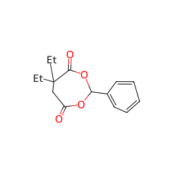 CCC1(CC)CC(=O)OC(c2ccccc2)OC1=O